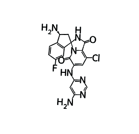 Nc1cc(Nc2cc(Cl)c3n(c2=O)C2(C[C@H](N)c4ccc(F)cc42)NC3=O)ncn1